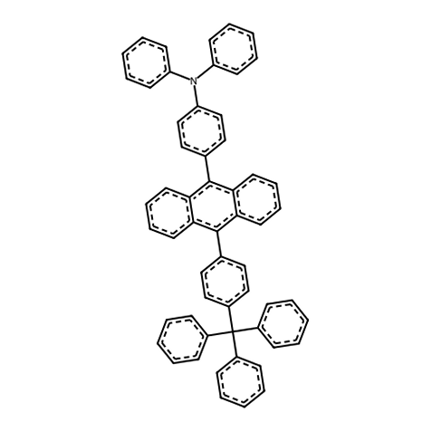 c1ccc(N(c2ccccc2)c2ccc(-c3c4ccccc4c(-c4ccc(C(c5ccccc5)(c5ccccc5)c5ccccc5)cc4)c4ccccc34)cc2)cc1